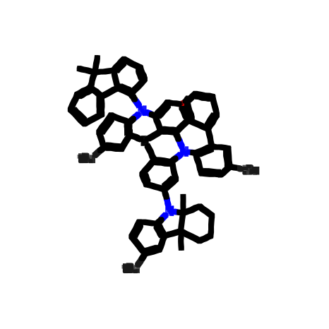 Cc1cc2c3c(c1)N(c1cccc4c1-c1ccccc1C4(C)C)c1ccc(C(C)(C)C)cc1B3c1ccc(N3c4ccc(C(C)(C)C)cc4C4(C)CCCCC34C)cc1N2c1ccc(C(C)(C)C)cc1-c1ccccc1